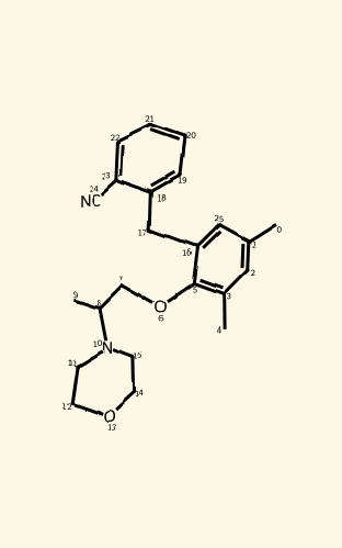 Cc1cc(C)c(OCC(C)N2CCOCC2)c(Cc2ccccc2C#N)c1